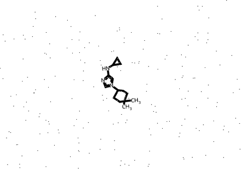 CC1(C)CCC(n2cnc(NC3CC3)c2)CC1